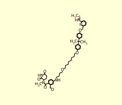 CSNc1cccc(COc2ccc(C(C)(C)c3ccc(OCCCCCCCCOCCCCNc4ccc(C(=O)N(C)C5CCC(=O)NC5=O)c(C=O)c4)cc3)cc2)n1